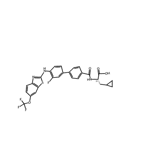 O=C(N[C@@H](CC1CC1)C(=O)O)c1ccc(-c2ccc(Nc3nc4ccc(OC(F)(F)F)cc4s3)c(F)c2)cc1